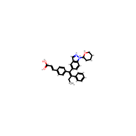 CC/C(=C(\c1ccc(C=CC(=O)O)cc1)c1ccc2c(cnn2C2CCCCO2)c1)c1ccccc1